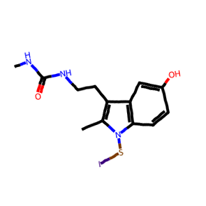 CNC(=O)NCCc1c(C)n(SI)c2ccc(O)cc12